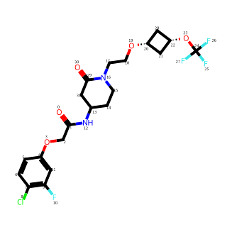 O=C(COc1ccc(Cl)c(F)c1)NC1CCN(CCO[C@H]2C[C@@H](OC(F)(F)F)C2)C(=O)C1